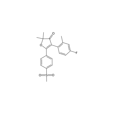 Cc1cc(F)ccc1C1=C(c2ccc(S(C)(=O)=O)cc2)OC(C)(C)C1=O